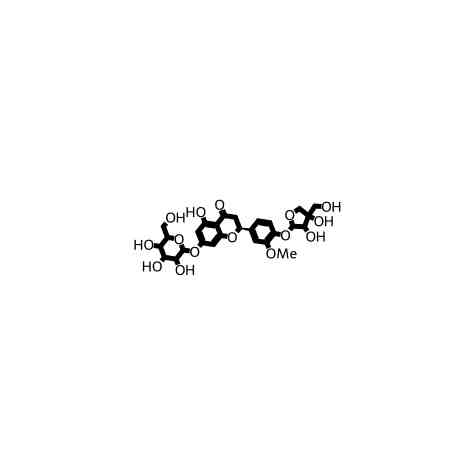 COc1cc([C@@H]2CC(=O)c3c(O)cc(OC4OC(CO)C(O)C(O)C4O)cc3O2)ccc1OC1OCC(O)(CO)C1O